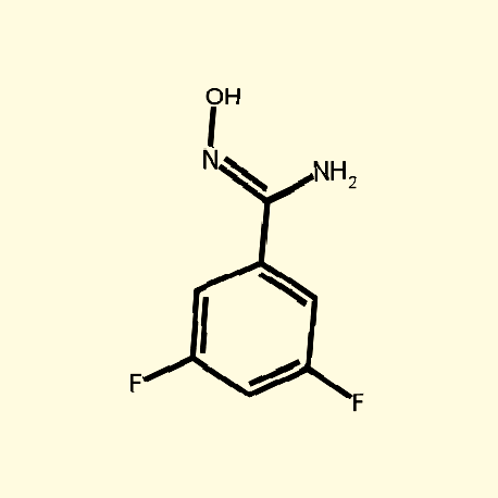 N/C(=N\O)c1cc(F)cc(F)c1